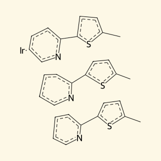 Cc1ccc(-c2ccccn2)s1.Cc1ccc(-c2ccccn2)s1.Cc1ccc(-c2ccccn2)s1.[Ir]